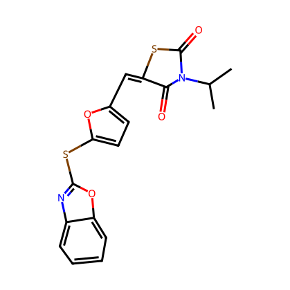 CC(C)N1C(=O)SC(=Cc2ccc(Sc3nc4ccccc4o3)o2)C1=O